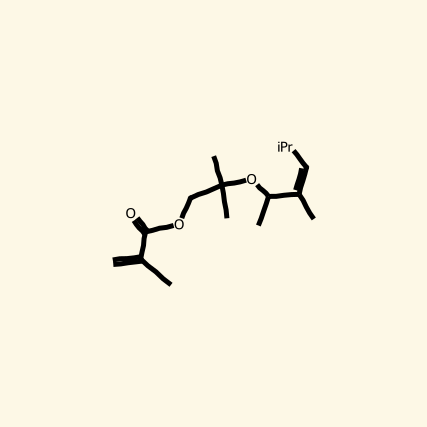 C=C(C)C(=O)OCC(C)(C)OC(C)C(C)=CC(C)C